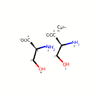 N[C@@H](CO)C(=O)[O-].N[C@@H](CO)C(=O)[O-].[Cu+2]